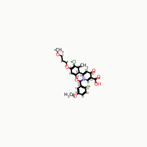 COCCCOC1=C(Cl)C(C)C2C(=C1)OC(c1cc(OC)ccc1F)n1cc(C(=O)O)c(=O)cc12